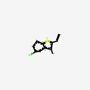 C=Cc1sc2ccc(Cl)cc2c1C